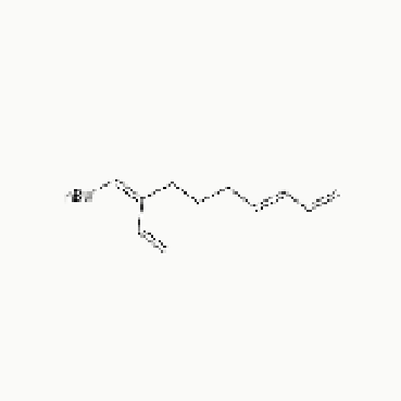 C=CC=CCCCC(C=C)=CCCCC